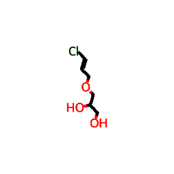 OCC(O)COCC=CCl